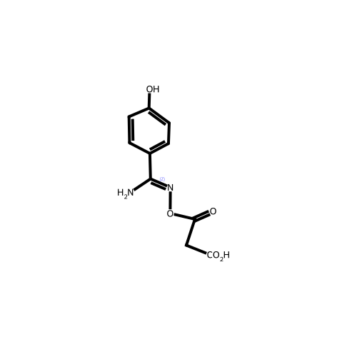 N/C(=N\OC(=O)CC(=O)O)c1ccc(O)cc1